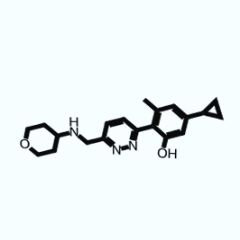 Cc1cc(C2CC2)cc(O)c1-c1ccc(CNC2CCOCC2)nn1